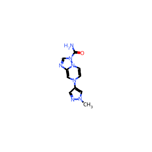 Cn1cc(N2C=CN3C(=C2)N=[C]N3C(N)=O)cn1